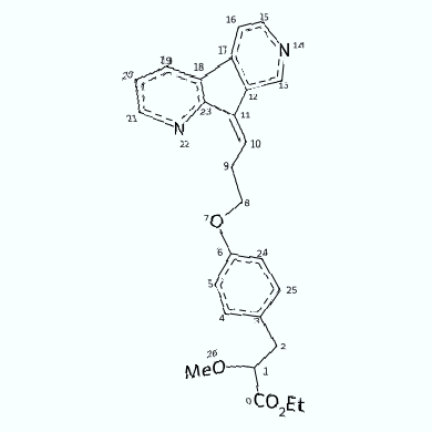 CCOC(=O)C(Cc1ccc(OCCC=C2c3cnccc3-c3cccnc32)cc1)OC